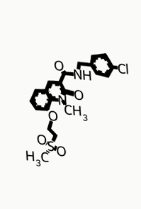 Cn1c(=O)c(C(=O)NCc2ccc(Cl)cc2)cc2cccc(OCCS(C)(=O)=O)c21